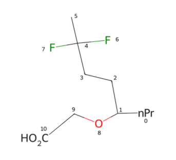 CCCC(CCC(C)(F)F)OCC(=O)O